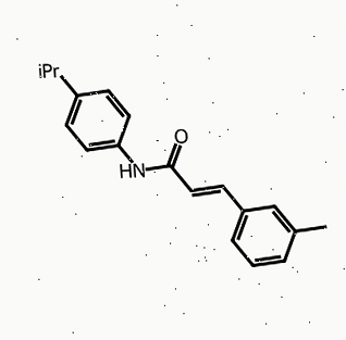 Cc1cccc(/C=C/C(=O)Nc2ccc(C(C)C)cc2)c1